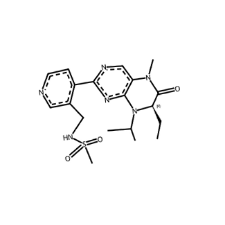 CC[C@@H]1C(=O)N(C)c2cnc(-c3ccncc3CNS(C)(=O)=O)nc2N1C(C)C